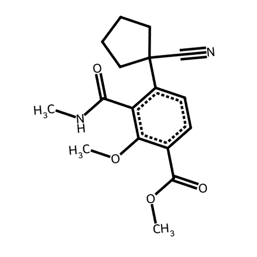 CNC(=O)c1c(C2(C#N)CCCC2)ccc(C(=O)OC)c1OC